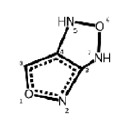 c1onc2c1NON2